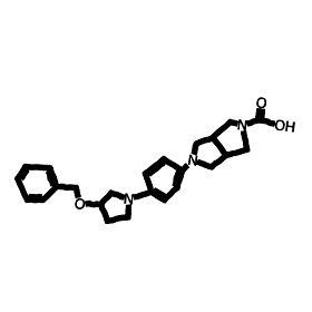 O=C(O)N1CC2CN(c3ccc(N4CCC(OCc5ccccc5)C4)cc3)CC2C1